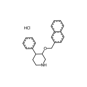 Cl.c1ccc(C2CCNCC2OCc2ccc3ccccc3c2)cc1